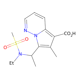 CCN(C(C)c1c(C)c(C(=O)O)c2cccnn12)S(C)(=O)=O